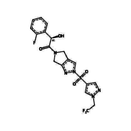 O=C([C@H](O)c1ccccc1F)N1Cc2cn(S(=O)(=O)c3cnn(CC(F)(F)F)c3)nc2C1